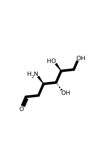 N[C@H](CC=O)[C@@H](O)[C@@H](O)CO